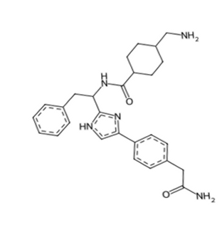 NCC1CCC(C(=O)NC(Cc2ccccc2)c2nc(-c3ccc(CC(N)=O)cc3)c[nH]2)CC1